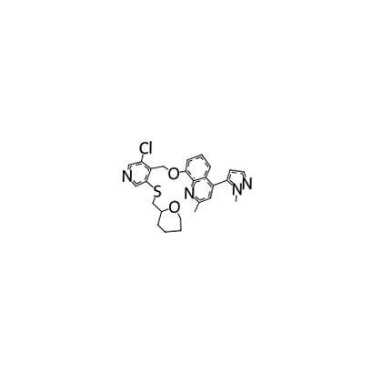 Cc1cc(-c2ccnn2C)c2cccc(OCc3c(Cl)cncc3SCC3CCCCO3)c2n1